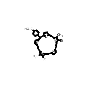 CCC1=C(C)c2cc3nc(c(-c4ccc(C(=O)O)cc4)c4ccc(cc5nc(cc6ccc(cc1n2)[nH]6)C(CC)=C5C)[nH]4)C=C3